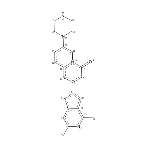 Cc1cn2nc(-c3cc(=O)n4cc(N5CCNCC5)ccc4n3)cc2c(C)n1